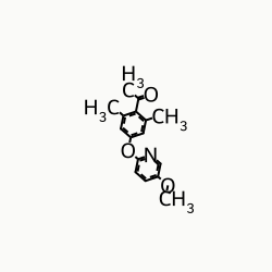 COc1ccc(Oc2cc(C)c(C(C)=O)c(C)c2)nc1